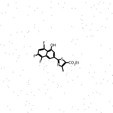 CCOC(=O)c1sc(-c2cc(O)c3c(F)cc(F)c(F)c3c2)nc1C